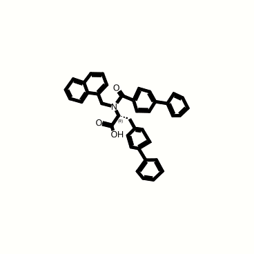 O=C(O)[C@@H](Cc1ccc(-c2ccccc2)cc1)N(Cc1cccc2ccccc12)C(=O)c1ccc(-c2ccccc2)cc1